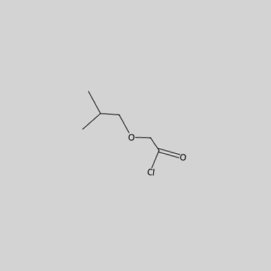 CC(C)COCC(=O)Cl